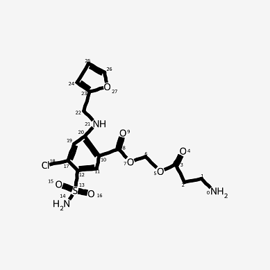 NCCC(=O)OCOC(=O)c1cc(S(N)(=O)=O)c(Cl)cc1NCc1ccco1